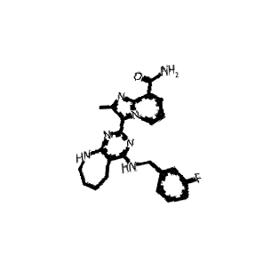 Cc1nc2c(C(N)=O)cccn2c1-c1nc2c(c(NCc3cccc(F)c3)n1)CCCCN2